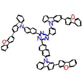 c1cc(-c2nc(-c3ccc4cc(-n5c6ccccc6c6ccc(-c7ccc8c(c7)oc7ccccc78)cc65)ccc4c3)nc(-c3ccc4cc(-n5c6ccccc6c6ccc(-c7ccc8c(c7)oc7ccccc78)cc65)ccc4c3)n2)cc(-n2c3ccccc3c3ccc(-c4ccc5c(c4)oc4ccccc45)cc32)c1